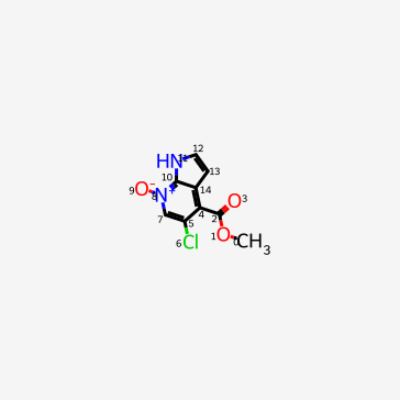 COC(=O)c1c(Cl)c[n+]([O-])c2[nH]ccc12